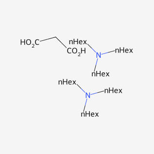 CCCCCCN(CCCCCC)CCCCCC.CCCCCCN(CCCCCC)CCCCCC.O=C(O)CC(=O)O